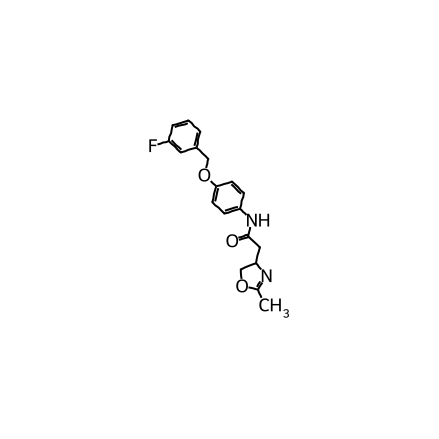 CC1=NC(CC(=O)Nc2ccc(OCc3cccc(F)c3)cc2)CO1